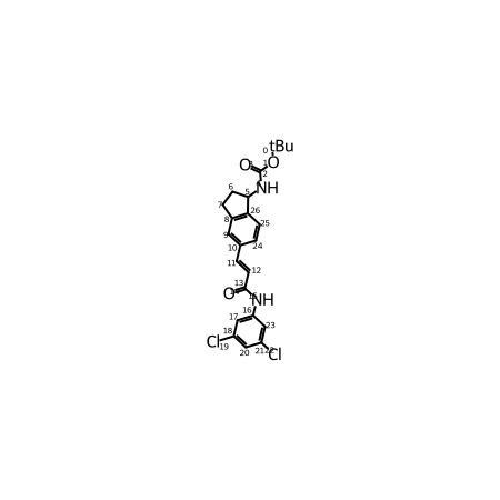 CC(C)(C)OC(=O)NC1CCc2cc(/C=C/C(=O)Nc3cc(Cl)cc(Cl)c3)ccc21